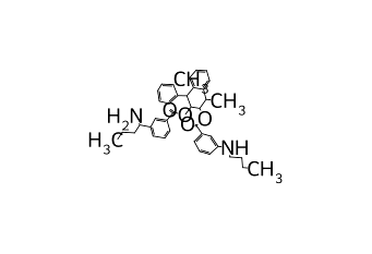 CCCCNc1cccc(C(=O)OC2C(C)c3ccccc3C(c3ccccc3C)C2OC(=O)c2cccc(C(N)CCC)c2)c1